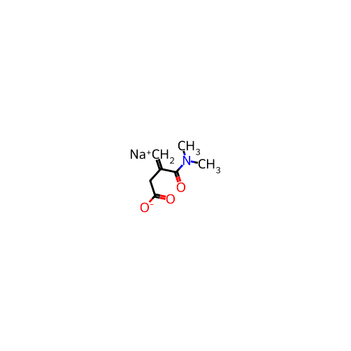 C=C(CC(=O)[O-])C(=O)N(C)C.[Na+]